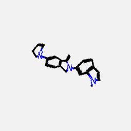 C=C1c2cc(N3CCCC3)ccc2CN1c1ccc2ccn(C)c2c1